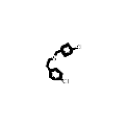 Clc1ccc(/C=C\SCc2ccc(Cl)cc2)cc1